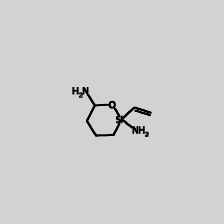 C=C[Si]1(N)CCCC(N)O1